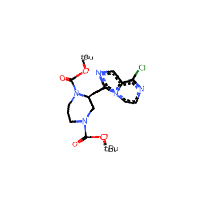 CC(C)(C)OC(=O)N1CCN(C(=O)OC(C)(C)C)C(c2ncc3c(Cl)nccn23)C1